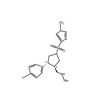 CCCCNC[C@@H]1CN(S(=O)(=O)c2cn(C)cn2)C[C@H]1c1ccc(F)cc1